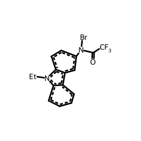 CCn1c2ccccc2c2cc(N(Br)C(=O)C(F)(F)F)ccc21